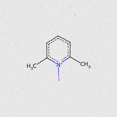 Cc1cccc(C)[n+]1I